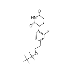 CC(C)(C)[Si](C)(C)OCCc1ccc(C2CCC(=O)NC2=O)c(F)c1